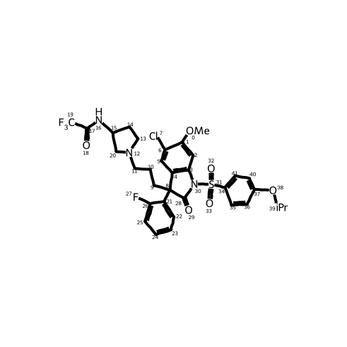 COc1cc2c(cc1Cl)C(CCCN1CCC(NC(=O)C(F)(F)F)C1)(c1ccccc1F)C(=O)N2S(=O)(=O)c1ccc(OC(C)C)cc1